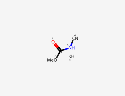 COC(=O)NC#N.[KH]